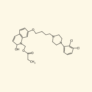 CCC(=O)OCN1c2cc(OCCCCN3CCN(c4cccc(Cl)c4Cl)CC3)ccc2C=CC1O